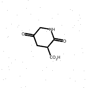 O=C1CNC(=O)C(C(=O)O)C1